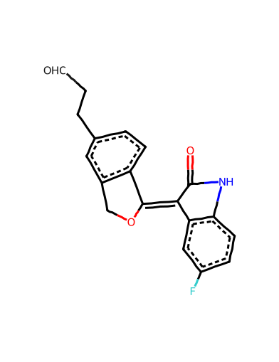 O=CCCc1ccc2c(c1)COC2=C1C(=O)Nc2ccc(F)cc21